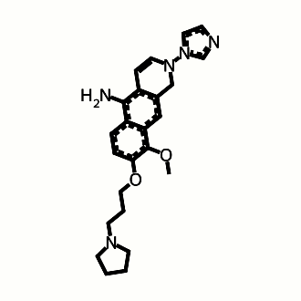 COc1c(OCCCN2CCCC2)ccc2c(N)c3c(cc12)CN(n1ccnc1)C=C3